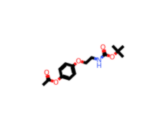 CC(=O)Oc1ccc(OCCNC(=O)OC(C)(C)C)cc1